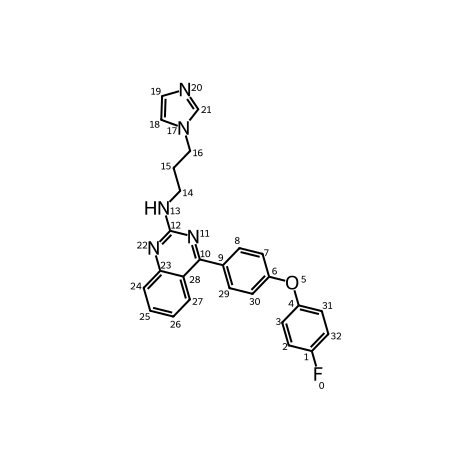 Fc1ccc(Oc2ccc(-c3nc(NCCCn4ccnc4)nc4ccccc34)cc2)cc1